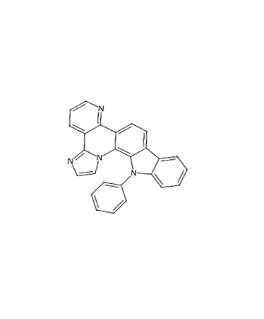 c1ccc(-n2c3ccccc3c3ccc4c5ncccc5c5nccn5c4c32)cc1